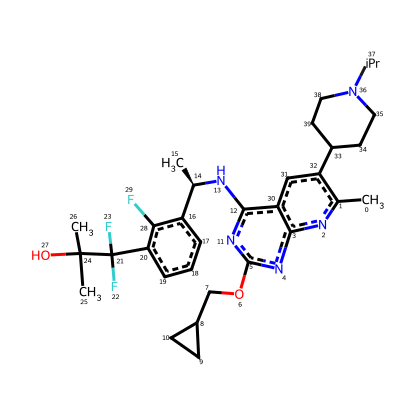 Cc1nc2nc(OCC3CC3)nc(N[C@H](C)c3cccc(C(F)(F)C(C)(C)O)c3F)c2cc1C1CCN(C(C)C)CC1